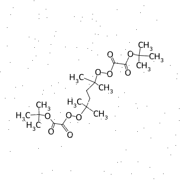 CC(C)(C)OC(=O)C(=O)OOC(C)(C)CCC(C)(C)OOC(=O)C(=O)OC(C)(C)C